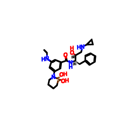 CCNc1cc(C(=O)N[C@@H](Cc2ccccc2)[C@@H](O)CNC2CC2)cc(N2CCCCS2(O)O)c1